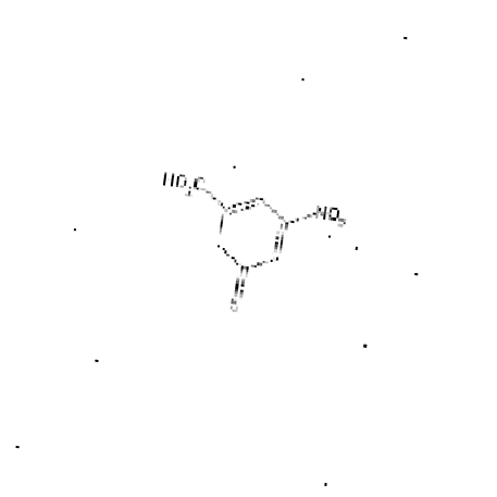 O=C(O)C1=CC([N+](=O)[O-])=CC(=S)C1